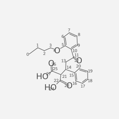 CCCCOc1ccccc1C(=O)CC(c1ccccc1)C(C(=O)O)C(=O)O